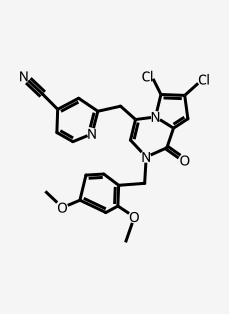 COc1ccc(Cn2cc(Cc3cc(C#N)ccn3)n3c(Cl)c(Cl)cc3c2=O)c(OC)c1